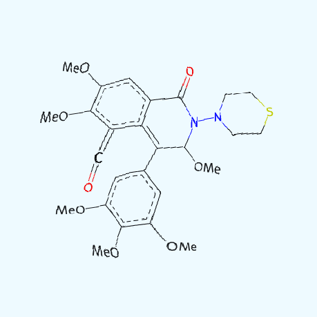 COc1cc(C2=c3c(cc(OC)c(OC)c3=C=O)C(=O)N(N3CCSCC3)C2OC)cc(OC)c1OC